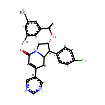 CC(O[C@H]1CN2C(=O)C=C(c3cncnc3)CC2C1c1ccc(F)cc1)c1cc(C(F)(F)F)cc(C(F)(F)F)c1